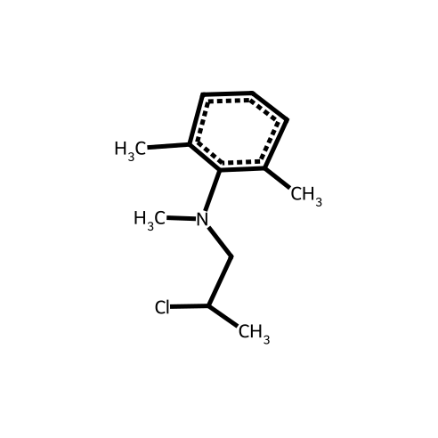 Cc1cccc(C)c1N(C)CC(C)Cl